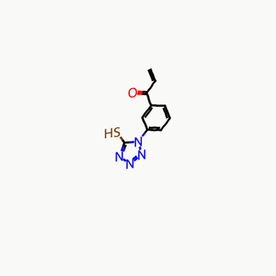 C=CC(=O)c1cccc(-n2nnnc2S)c1